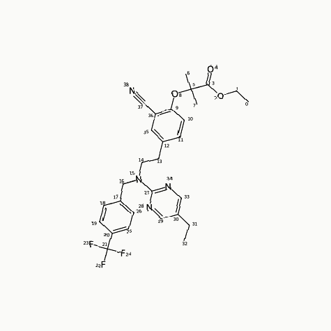 CCOC(=O)C(C)(C)Oc1ccc(CCN(Cc2ccc(C(F)(F)F)cc2)c2ncc(CC)cn2)cc1C#N